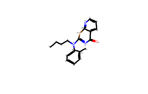 CCCCN(c1nc(=O)c2cccnc2s1)c1ccccc1C